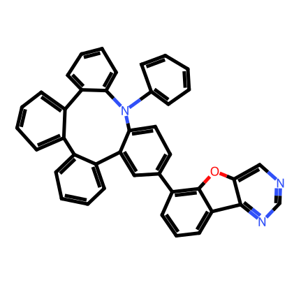 c1ccc(-n2c3ccccc3c3ccccc3c3ccccc3c3cc(-c4cccc5c4oc4cncnc45)ccc32)cc1